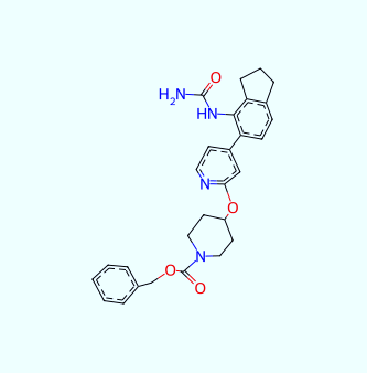 NC(=O)Nc1c(-c2ccnc(OC3CCN(C(=O)OCc4ccccc4)CC3)c2)ccc2c1CCC2